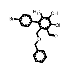 Cc1c(O)c(O)c(C=O)c(COCc2ccccc2)c1-c1ccc(Br)cc1